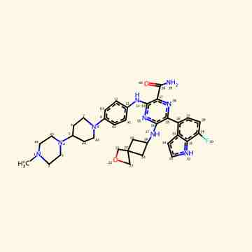 CN1CCN(C2CCN(c3ccc(Nc4nc(NC5CC6(COC6)C5)c(-c5ccc(F)c6[nH]ccc56)nc4C(N)=O)cc3)CC2)CC1